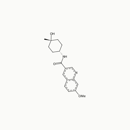 COc1ccc2cc(C(=O)N[C@H]3CC[C@@](C)(O)CC3)cnc2c1